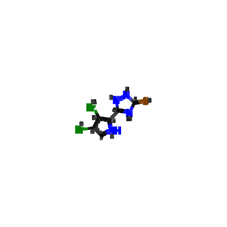 S=C1N=NC(c2[nH]cc(Br)c2Br)=N1